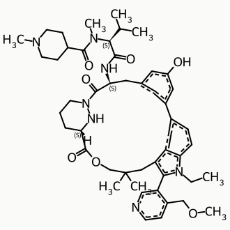 CCn1c(-c2cnccc2COC)c2c3cc(ccc31)-c1cc(O)cc(c1)C[C@H](NC(=O)[C@H](C(C)C)N(C)C(=O)C1CCN(C)CC1)C(=O)N1CCC[C@H](N1)C(=O)OCC(C)(C)C2